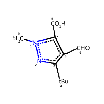 Cn1nc(C(C)(C)C)c(C=O)c1C(=O)O